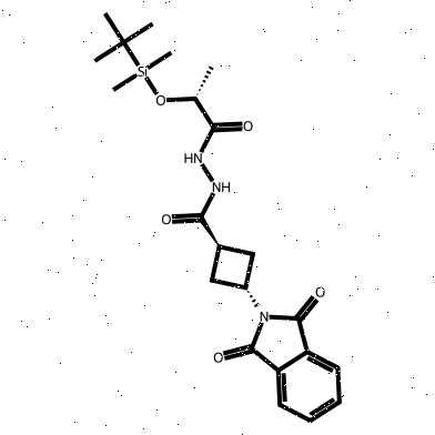 C[C@@H](O[Si](C)(C)C(C)(C)C)C(=O)NNC(=O)[C@H]1C[C@H](N2C(=O)c3ccccc3C2=O)C1